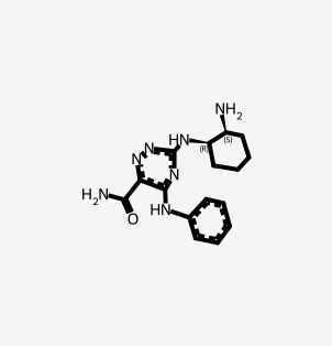 NC(=O)c1nnc(N[C@@H]2CCCC[C@@H]2N)nc1Nc1ccccc1